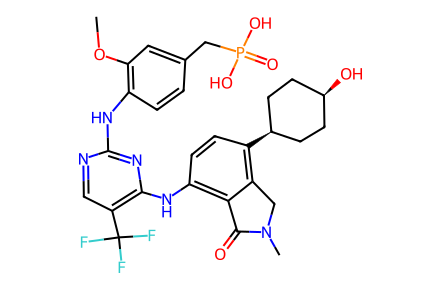 COc1cc(CP(=O)(O)O)ccc1Nc1ncc(C(F)(F)F)c(Nc2ccc([C@H]3CC[C@@H](O)CC3)c3c2C(=O)N(C)C3)n1